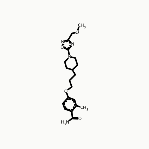 COCc1noc(N2CCC(CCCOc3ccc(C(N)=O)c(C)c3)CC2)n1